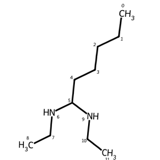 CCCCCC(NCC)NCC